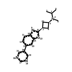 CC(C)N(C)[C@H]1C[C@@H](c2nc3ccc(-c4cncnc4)cc3s2)C1